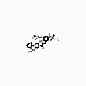 CC(C)Nc1cccnc1N1CCN(C(=O)c2cc3cc(NS(C)(=O)=O)ccc3[nH]2)CC1.CS(=O)(=O)O.Cl